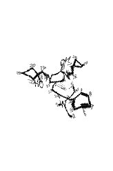 CN(C)[C@]1(c2ccccc2)CC[C@]2(CC1)CN(CC1(O)CCC1)C(O)N2CC1CC1